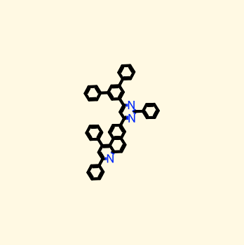 c1ccc(-c2cc(-c3ccccc3)cc(-c3cc(-c4ccc5c(ccc6nc(-c7ccccc7)cc(-c7ccccc7)c65)c4)nc(-c4ccccc4)n3)c2)cc1